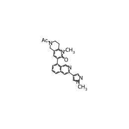 CC(=O)N1CCc2c(cc(-c3cccc4cc(-c5cnn(C)c5)ncc34)c(=O)n2C)C1